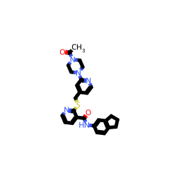 CC(=O)N1CCN(c2cc(CSc3ncccc3C(=O)Nc3ccc4c(c3)CCC4)ccn2)CC1